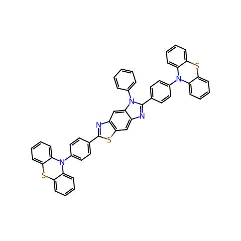 c1ccc(-n2c(-c3ccc(N4c5ccccc5Sc5ccccc54)cc3)nc3cc4sc(-c5ccc(N6c7ccccc7Sc7ccccc76)cc5)nc4cc32)cc1